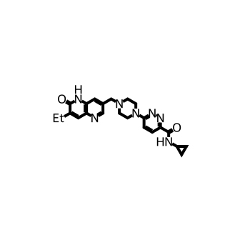 CCc1cc2ncc(CN3CCN(c4ccc(C(=O)NC5CC5)nn4)CC3)cc2[nH]c1=O